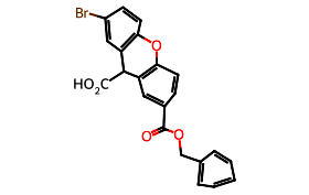 O=C(OCc1ccccc1)c1ccc2c(c1)C(C(=O)O)c1cc(Br)ccc1O2